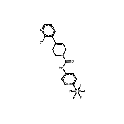 O=C(Nc1ccc(S(F)(F)(F)(F)F)cc1)N1CC=C(c2nccnc2Cl)CC1